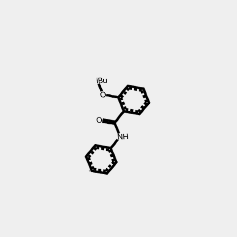 CCC(C)Oc1ccccc1C(=O)Nc1cc[c]cc1